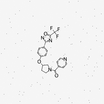 O=C(c1ccncc1)N1CCC(Oc2ccc(-c3noc(C(F)(F)F)n3)cc2)C1